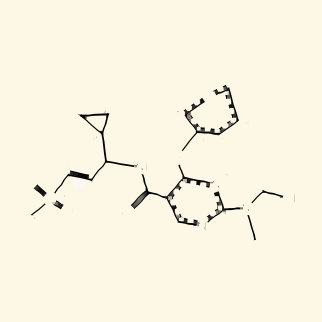 CN(CC(F)(F)F)c1ncc(C(=O)NC(/C=C/S(C)(=O)=O)C2CC2)c(Oc2ccccc2)n1